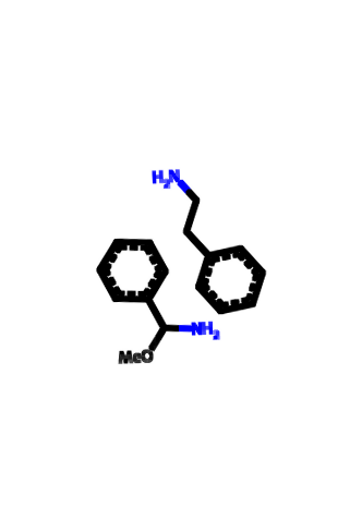 COC(N)c1ccccc1.NCCc1ccccc1